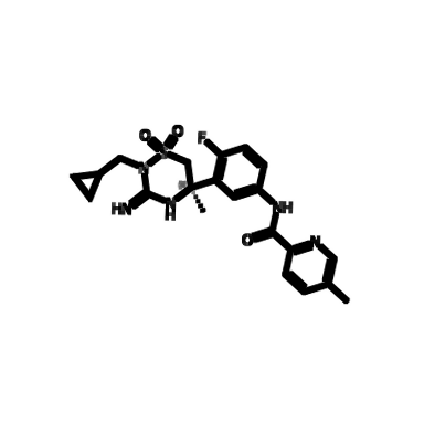 Cc1ccc(C(=O)Nc2ccc(F)c([C@]3(C)CS(=O)(=O)N(CC4CC4)C(=N)N3)c2)nc1